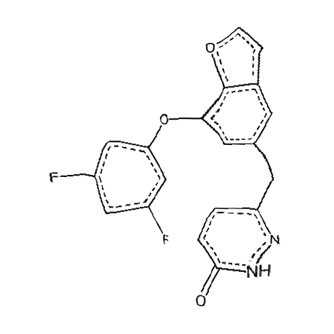 O=c1ccc(Cc2cc(Oc3cc(F)cc(F)c3)c3occc3c2)n[nH]1